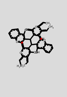 C/C=c1/c(O)c(C(c2c(O)c3ccccc3oc2=O)C(c2c(O)c(=C/C)/c(=C\C)oc2=O)c2c(O)c3ccccc3oc2=O)c(=O)o/c1=C/C